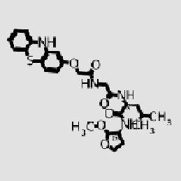 COC1OCC[C@@H]1NC(=O)[C@H](CC(C)C)NC(=O)CNC(=O)COc1ccc2c(c1)Nc1ccccc1S2